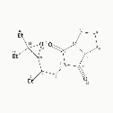 CCC(CN1C(=O)C2CCCC2C1=O)C1OC1(CC)CC